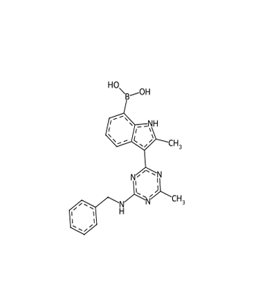 Cc1nc(NCc2ccccc2)nc(-c2c(C)[nH]c3c(B(O)O)cccc23)n1